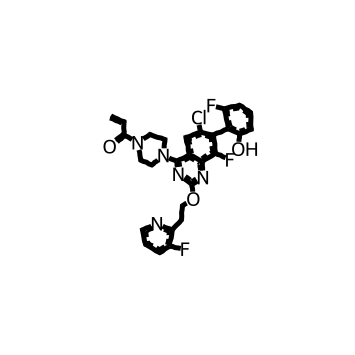 C=CC(=O)N1CCN(c2nc(OCCc3ncccc3F)nc3c(F)c(-c4c(O)cccc4F)c(Cl)cc23)CC1